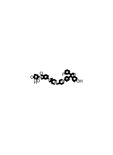 O=C1CCC(N2Cc3cc(N4CC5(CCN(CC6CCN(c7ccc(C8c9ccc(O)cc9OCC8c8cccc(F)c8)cc7)CC6)CC5)C4)ccc3C2=O)C(=O)N1